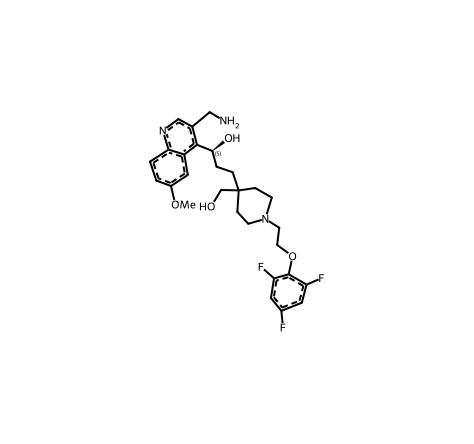 COc1ccc2ncc(CN)c([C@@H](O)CCC3(CO)CCN(CCOc4c(F)cc(F)cc4F)CC3)c2c1